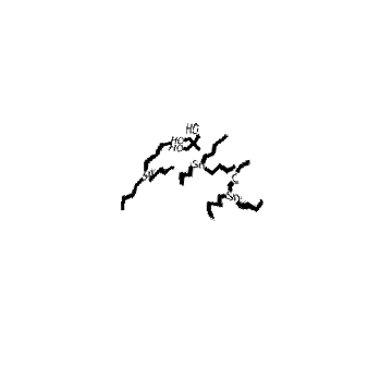 CC(CO)(CO)CO.CCC[CH2][Sn]([CH2]CCC)[CH2]CCC.CCC[CH2][Sn]([CH2]CCC)[CH2]CCC.CCC[CH2][Sn]([CH2]CCC)[CH2]CCC